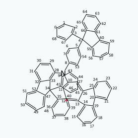 c1ccc(C2(c3ccc(N(c4ccc5c6ccccc6c6ccccc6c5c4)c4cccc5c4C(c4ccccc4)(c4ccccc4)c4ccccc4-5)cc3)c3ccccc3-c3ccccc32)cc1